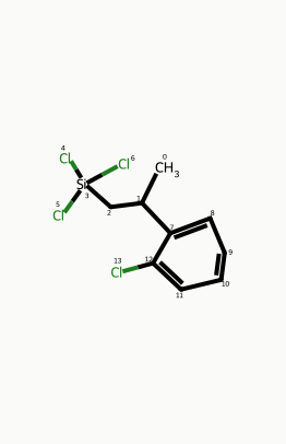 CC(C[Si](Cl)(Cl)Cl)c1ccccc1Cl